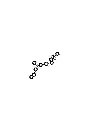 C1=CC(c2ccc(N(c3ccccc3)c3ccc(-c4ccc5ccccc5c4)cc3)cc2)CC=C1c1cccc2c1ccc1nc(-c3ccccc3)oc12